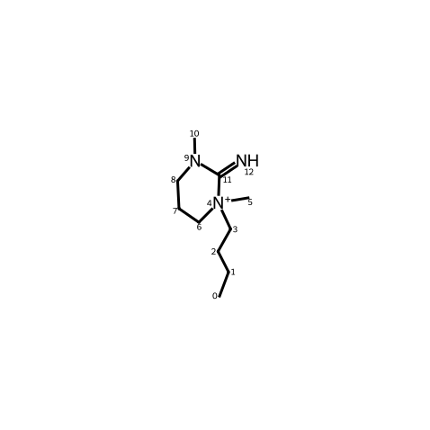 CCCC[N+]1(C)CCCN(C)C1=N